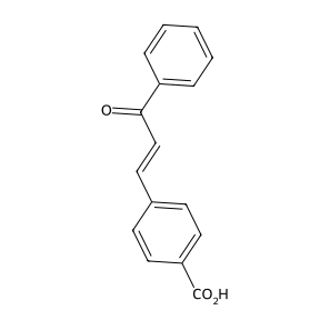 O=C(O)c1ccc(C=CC(=O)c2ccccc2)cc1